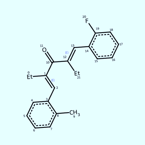 CC/C(=C\c1ccccc1C)C(=O)/C(=C/c1ccccc1F)CC